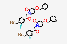 O=C(Cn1ccc(OCc2ccccc2)cc1=O)c1ccc(CBr)c(F)c1.O=C(Cn1ccc(OCc2ccccc2)cc1=O)c1ccc(CBr)c(F)c1